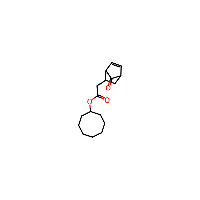 O=C(CC1CC2C=CC1C2=O)OC1CCCCCCC1